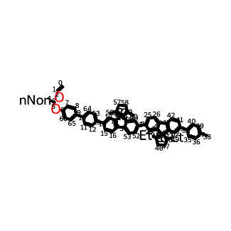 C=COC(CCCCCCCCC)Oc1ccc(-c2ccc(-c3ccc4c(c3)C3(c5cc(-c6ccc7c(c6)C6(c8cc(-c9ccc(C)cc9)ccc8-7)C7(CC)CCC6(CC)CC7)ccc5-4)C4(C)CCC3(C)CC4)cc2)cc1